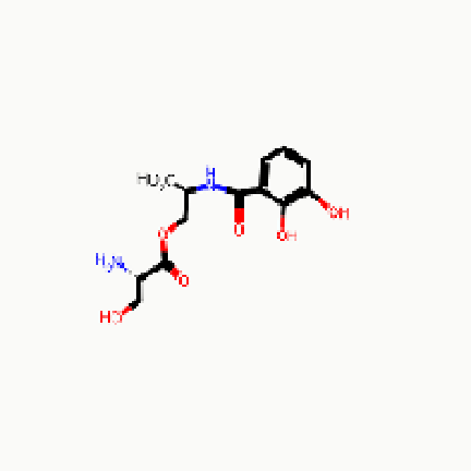 N[C@@H](CO)C(=O)OC[C@H](NC(=O)c1cccc(O)c1O)C(=O)O